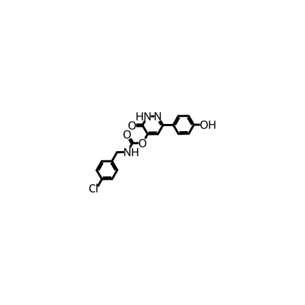 O=C(NCc1ccc(Cl)cc1)Oc1cc(-c2ccc(O)cc2)n[nH]c1=O